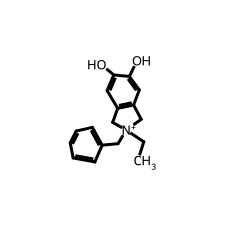 CC[N+]1(Cc2ccccc2)Cc2cc(O)c(O)cc2C1